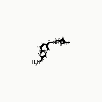 NCc1cn2cc(CNCC34CC(F)(C3)C4)ccc2n1